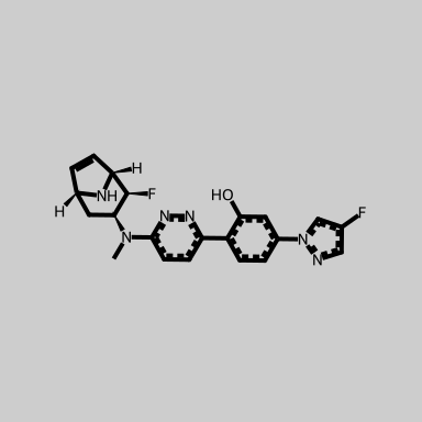 CN(c1ccc(-c2ccc(-n3cc(F)cn3)cc2O)nn1)[C@H]1C[C@@H]2C=C[C@@H](N2)[C@H]1F